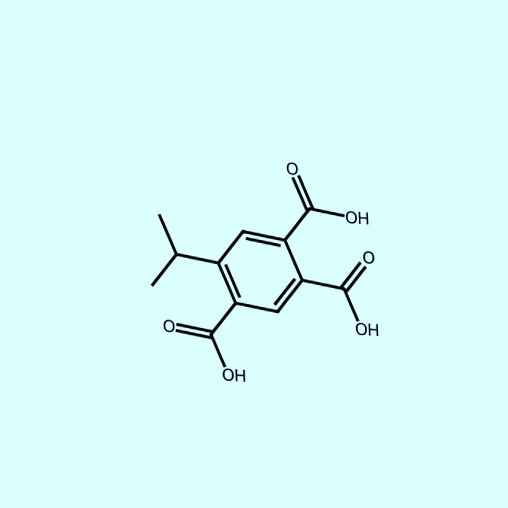 CC(C)c1cc(C(=O)O)c(C(=O)O)cc1C(=O)O